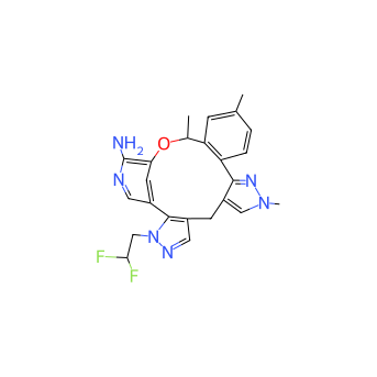 Cc1ccc2c(c1)C(C)Oc1cc(cnc1N)-c1c(cnn1CC(F)F)Cc1cn(C)nc1-2